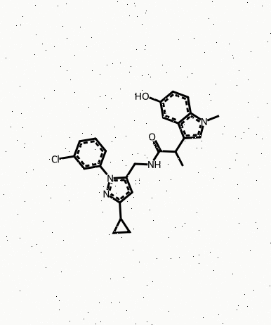 CC(C(=O)NCc1cc(C2CC2)nn1-c1cccc(Cl)c1)c1cn(C)c2ccc(O)cc12